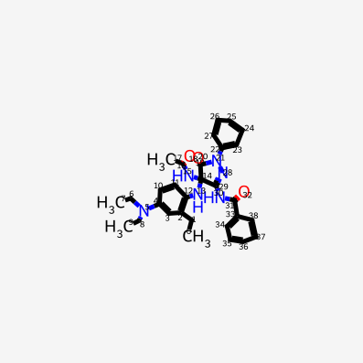 CCc1cc(N(CC)CC)ccc1NC1(NC(C)=O)C(=O)N(c2ccccc2)N=C1NC(=O)c1ccccc1